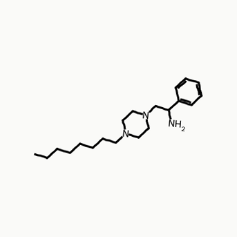 CCCCCCCCN1CCN(CC(N)c2ccccc2)CC1